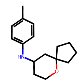 Cc1ccc(NC2CCOC3(CCCC3)C2)cc1